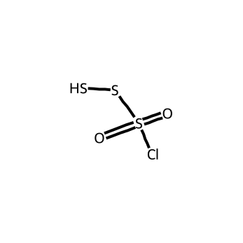 O=S(=O)(Cl)SS